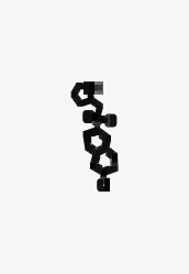 O=S(=O)(CC1CCCN1)c1ccc2cc(Cl)ccc2c1